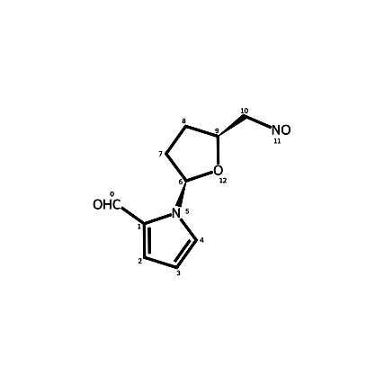 O=Cc1cccn1[C@H]1CC[C@@H](CN=O)O1